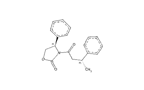 C[C@H](CC(=O)N1C(=O)OC[C@H]1c1ccccc1)c1ccccc1